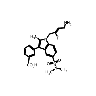 Cc1c(-c2cccc(C(=O)O)c2)c2cc(S(=O)(=O)N(C)C)ccc2n1C/C(F)=C/CN